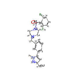 Cn1nc(C(C)(C)C)cc1-c1cccc(CN2CCN(C(=O)c3c(F)cccc3F)CC2)c1